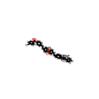 Cc1ccc(C(=O)c2ccc(CCc3ccc(S(=O)(=O)c4ccc(CCc5ccc(C(c6ccc(C)cc6)(C(F)(F)F)C(F)(F)F)cc5)cc4)cc3)cc2)cc1